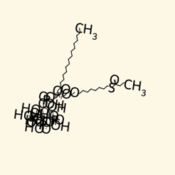 CCCCCCCCCCCCCCCC(=O)O[C@H](COCOCCCCCCCCSC(=O)CCC)COP(=O)(O)OC1C(O)[C@H](OP(=O)(O)O)C(OP(=O)(O)O)[C@H](OP(=O)(O)O)[C@@H]1O